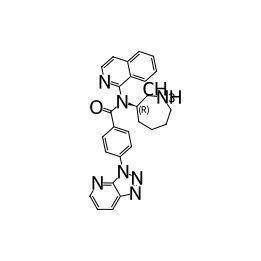 Cc1cccc2ccnc(N(C(=O)c3ccc(-n4nnc5cccnc54)cc3)[C@@H]3CCCCNC3)c12